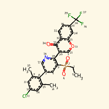 CCS(=O)(=O)c1cc(-c2c(C)cc(Cl)cc2C)cnc1-c1coc2cc(C(F)(F)F)ccc2c1=O